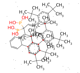 CC(C)(C)c1ccc(C2=CC(P(O)O)(P(O)O)C(=C3C=CC=CC3c3ccc(C(C)(C)C)cc3C(C)(C)C)C(c3ccc(C(C)(C)C)cc3C(C)(C)C)=C2c2ccc(C(C)(C)C)cc2C(C)(C)C)c(C(C)(C)C)c1